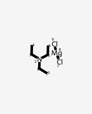 [CH2]CN(CC)CC.[Cl][Mg][Cl]